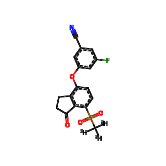 [2H]C([2H])([2H])S(=O)(=O)c1ccc(Oc2cc(F)cc(C#N)c2)c2c1C(=O)CC2